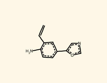 C=Cc1cc(-c2cnco2)ccc1N